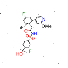 COc1cc(-c2cc(F)cc(C(C)C)c2CC(=O)NS(=O)(=O)c2ccc(C(C)(C)O)c(F)c2)ccn1